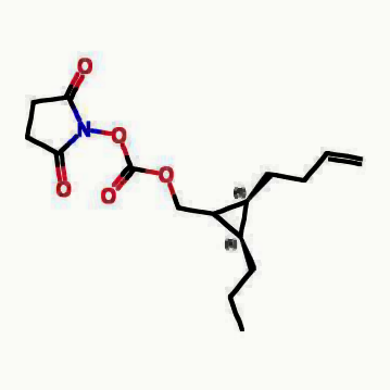 C=CCC[C@@H]1C(COC(=O)ON2C(=O)CCC2=O)[C@@H]1CCC